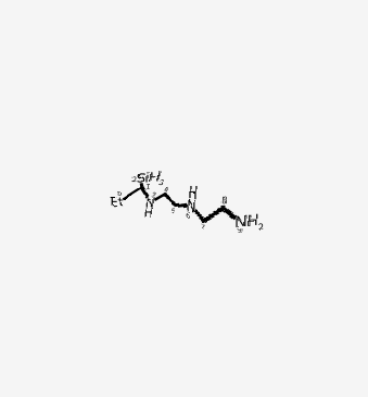 CCC([SiH3])NCCNCCN